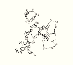 C1CCC(NC2CCCCC2)CC1.CN(C(=O)OCc1ccccc1)C(CC(=O)OC(C)(C)C)C(=O)O